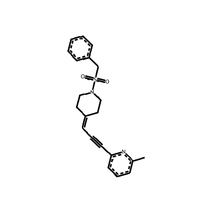 Cc1cccc(C#CC=C2CCN(S(=O)(=O)Cc3ccccc3)CC2)n1